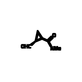 CNC(=O)C1C[C@@H]1C=O